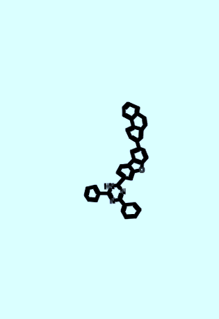 c1ccc(C2=NC(c3ccc4c(c3)oc3ccc(-c5ccc6c(ccc7ccccc76)c5)cc34)NC(c3ccccc3)=N2)cc1